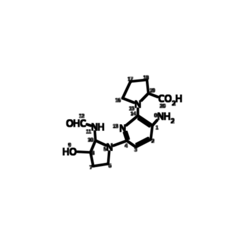 Nc1ccc(N2CCC(O)C2NC=O)nc1N1CCCC1C(=O)O